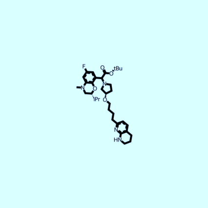 CC(C)[C@@H]1CN(C)c2cc(F)cc(C(C(=O)OC(C)(C)C)N3CC[C@@H](OCCCCc4ccc5c(n4)NCCC5)C3)c2O1